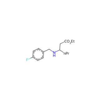 CCCC(CC(=O)OCC)NCc1ccc(F)cc1